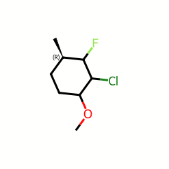 COC1CC[C@@H](C)C(F)C1Cl